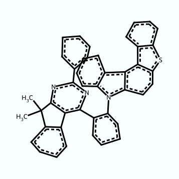 CC1(C)c2ccccc2-c2c(-c3ccccc3-n3c4ccccc4c4c5c(ccc43)sc3ccccc35)nc(-c3ccccc3)nc21